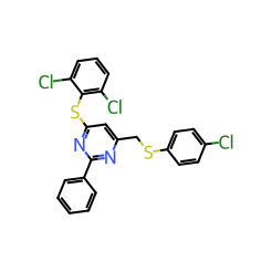 Clc1ccc(SCc2cc(Sc3c(Cl)cccc3Cl)nc(-c3ccccc3)n2)cc1